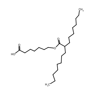 CCCCCCCCC(CCCCCCCC)C(=O)OCCCCCCC(=O)O